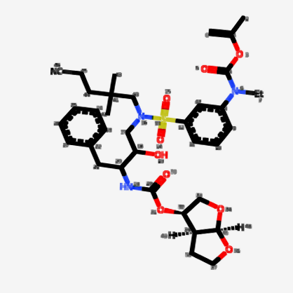 C=C(C)OC(=O)N(CC)c1cccc(S(=O)(=O)N(CC(O)C(Cc2ccccc2)NC(=O)O[C@H]2CO[C@H]3OCC[C@H]32)CC(C)(C)CCC#N)c1